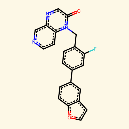 O=c1cnc2cnccc2n1Cc1ccc(-c2ccc3occc3c2)cc1F